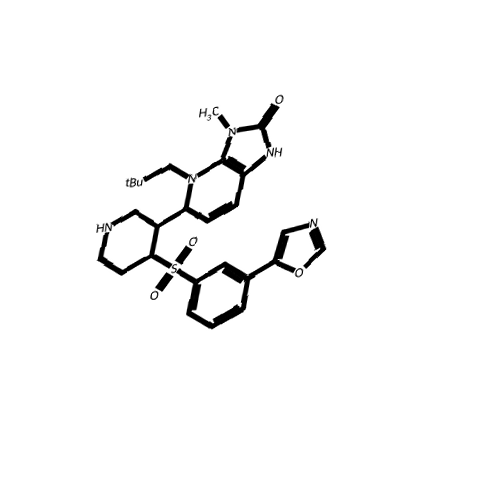 Cn1c2c([nH]c1=O)C=CC(C1CNCCC1S(=O)(=O)c1cccc(-c3cnco3)c1)N2CC(C)(C)C